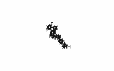 Fc1ccc(F)c([C@H]2CCCN2c2ccn3ncc(-c4nnc(-c5ccc(N6CCNCC6)cc5)[nH]4)c3n2)c1